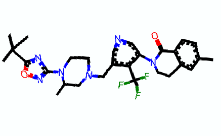 Cc1ccc2c(c1)CCN(c1cncc(CN3CCN(c4noc(C(C)(C)C)n4)C(C)C3)c1C(F)(F)F)C2=O